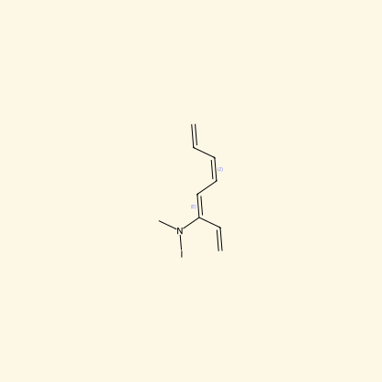 C=C/C=C\C=C(/C=C)N(C)I